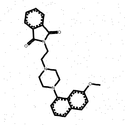 COc1ccc2cccc(N3CCN(CCN4C(=O)c5ccccc5C4=O)CC3)c2c1